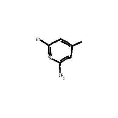 CCc1cc(C)cc(C(F)(F)F)n1